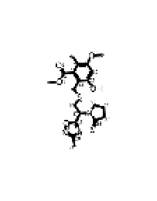 COC(=O)c1c(C)c(OC)cc(O)c1CSCC(c1nc(C)no1)N1CCCC1=S